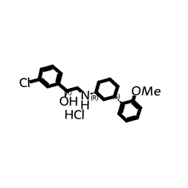 COc1ccccc1[C@H]1CCC[C@@H](NC[C@H](O)c2cccc(Cl)c2)C1.Cl